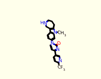 Cn1c2c(c3ccc(-n4ccc(-c5ccc(C(F)(F)F)nc5)nc4=O)cc31)CNCCC2